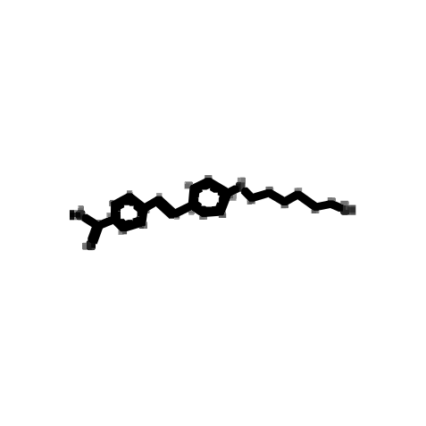 O=C(O)c1ccc(C=Cc2ccc(OCCCCCCO)cc2)cc1